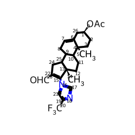 CC(=O)O[C@H]1CC[C@@]2(C)C(=CCC3C2CC[C@]2(C)C(n4cnc(C(F)(F)F)c4)=C(C=O)CC32)C1